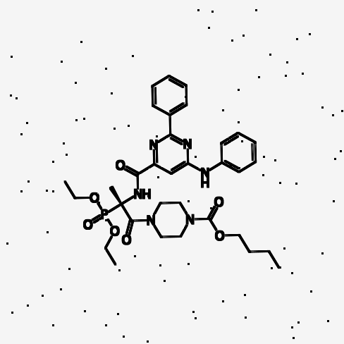 CCCCOC(=O)N1CCN(C(=O)[C@@](C)(NC(=O)c2cc(Nc3ccccc3)nc(-c3ccccc3)n2)P(=O)(OCC)OCC)CC1